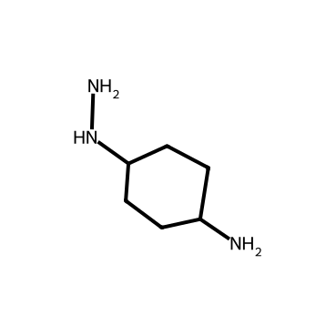 NNC1CCC(N)CC1